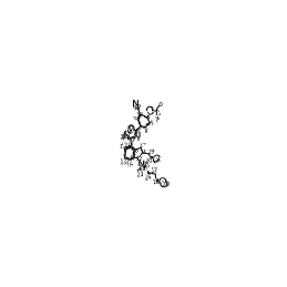 CC(C)Oc1ccc(-c2nc(-c3cccc4c3CC(CC=O)C4N(C)CCCC=O)no2)cc1C#N